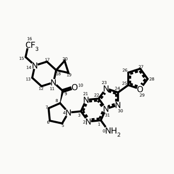 Nc1nc(N2CCC[C@H]2C(=O)N2CCN(CC(F)(F)F)CC23CC3)nc2nc(-c3ccco3)nn12